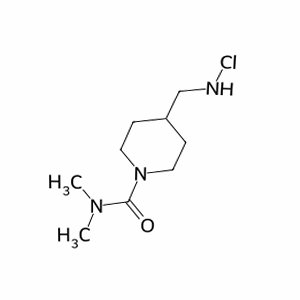 CN(C)C(=O)N1CCC(CNCl)CC1